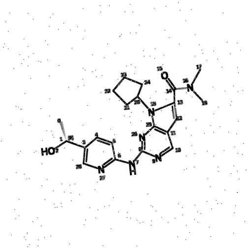 C[C@@H](O)c1ccc(Nc2ncc3cc(C(=O)N(C)C)n(C4CCCC4)c3n2)nc1